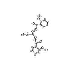 [CH2]CCCCCCCC[C](OOC(=O)c1ccccc1OCC)OOC(=O)c1ccccc1OCC